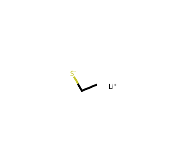 CC[S-].[Li+]